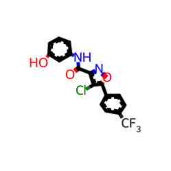 O=C(Nc1cccc(O)c1)c1noc(-c2ccc(C(F)(F)F)cc2)c1Cl